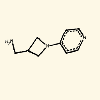 NCC1CN(c2ccncc2)C1